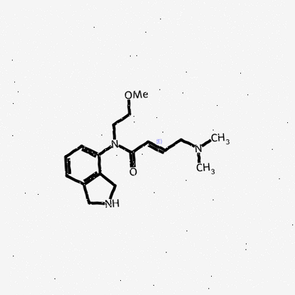 COCCN(C(=O)/C=C/CN(C)C)c1cccc2c1CNC2